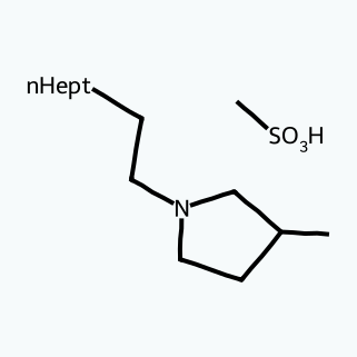 CCCCCCCCCN1CCC(C)C1.CS(=O)(=O)O